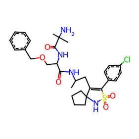 CC(CC1=C(c2ccc(Cl)cc2)S(=O)(=O)NC12CCCC2)NC(=O)C(COCc1ccccc1)NC(=O)C(C)(C)N